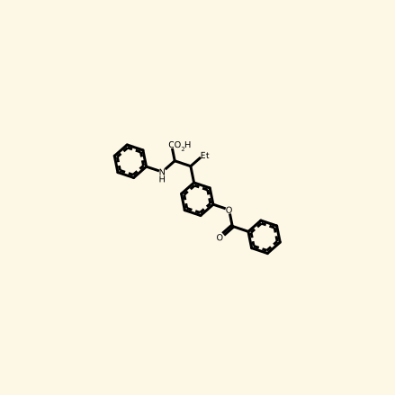 CCC(c1cccc(OC(=O)c2ccccc2)c1)C(Nc1ccccc1)C(=O)O